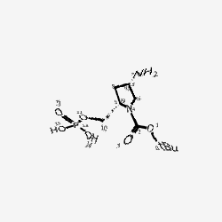 CC(C)(C)OC(=O)N1C[C@@H](N)C[C@H]1COP(=O)(O)O